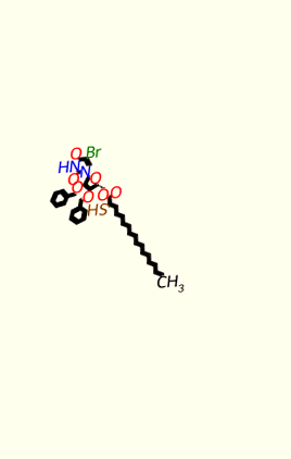 CCCCCCCCCCCCCCCCC(S)C(=O)OC[C@H]1O[C@@H](n2cc(Br)c(=O)[nH]c2=O)[C@H](OCc2ccccc2)[C@@H]1OCc1ccccc1